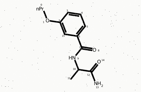 CCCOc1cccc(C(=O)NC(C)C(N)=O)c1